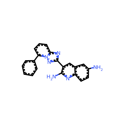 Nc1ccc2nc(N)c(-c3nc4cccc(-c5ccccc5)n4n3)cc2c1